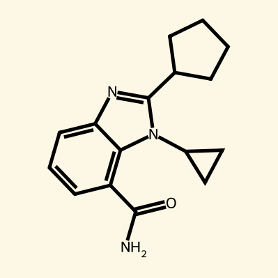 NC(=O)c1cccc2nc(C3CCCC3)n(C3CC3)c12